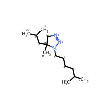 CC(C)CCCCN1N=NCC1(C)CC(C)C